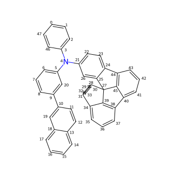 c1ccc(N(c2cccc(-c3ccc4ccccc4c3)c2)c2ccc3c(c2)C24c5ccccc5-c5cccc(c52)-c2cccc-3c24)cc1